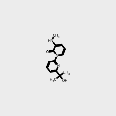 CNc1cccn(-c2cccc(C(C)(C)O)n2)c1=O